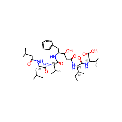 CC[C@H](C)[C@H](NC(=O)CC(O)C(Cc1ccccc1)NC(=O)[C@H](NC(=O)[C@H](CC(C)C)NC(=O)CC(C)C)C(C)C)C(=O)N[C@H](C(=O)O)C(C)C